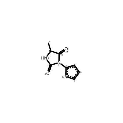 CC1NC(=O)N(c2cccs2)C1=O